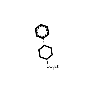 CCOC(=O)[C@H]1CC[C@H](c2ccccc2)CC1